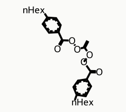 C=C(OOC(=O)c1ccc(CCCCCC)cc1)OOC(=O)c1ccc(CCCCCC)cc1